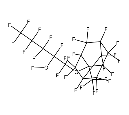 FOC(F)(C(F)(F)OC1(C(F)(F)F)C2(F)C(F)(F)C3(F)C(F)(F)C(F)(C2(F)F)C(F)(F)C1(F)C3(F)F)C(F)(F)C(F)(F)C(F)(F)F